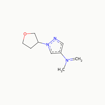 C=[N+](C)c1cnn(C2CCOC2)c1